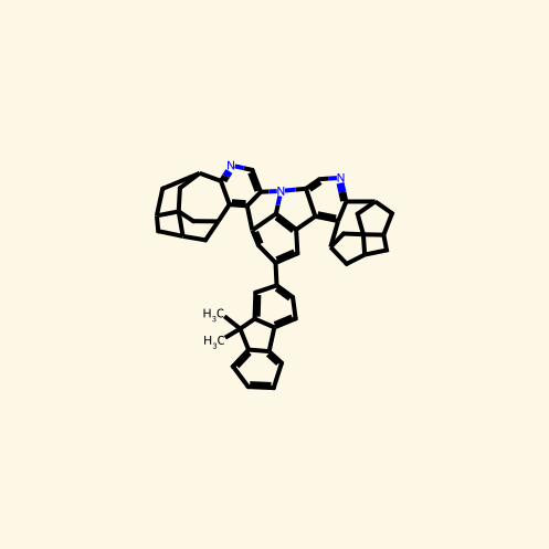 CC1(C)c2ccccc2-c2ccc(-c3cc4c5c6c(ncc5n5c7cnc8c(c7c(c3)c45)C3CC4CC5CC8CC54C3)C3CC4CC5CC6CC45C3)cc21